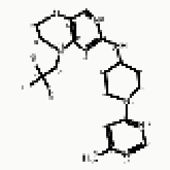 Cc1cc(N2CCC(Nc3ncc4c(n3)N(CC(F)(F)F)CCO4)CC2)ncn1